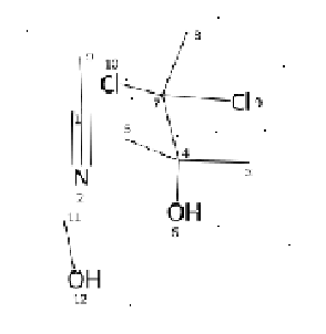 CC#N.CC(C)(O)C(C)(Cl)Cl.CO